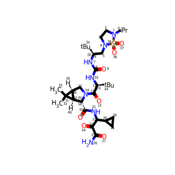 CC(C)N1CCN(C[C@@H](NC(=O)N[C@H](C(=O)N2C[C@H]3[C@@H]([C@H]2C(=O)NC(C(=O)C(N)=O)C2CC2)C3(C)C)C(C)(C)C)C(C)(C)C)S1(=O)=O